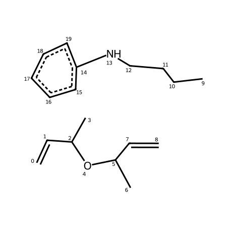 C=CC(C)OC(C)C=C.CCCCNc1ccccc1